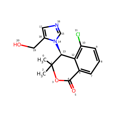 CC1(C)OC(=O)c2cccc(Cl)c2[C@@H]1n1cncc1CO